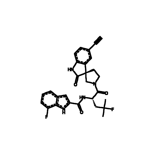 C#Cc1ccc2c(c1)[C@@]1(CCN(C(=O)[C@H](CC(C)(C)F)NC(=O)c3cc4cccc(F)c4[nH]3)C1)C(=O)N2